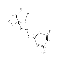 CC[Si](CC)(CCCc1cc(F)cc(F)c1)OC